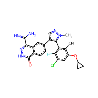 Cn1ncc(-c2ccc3c(=O)[nH]nc(C(=N)N)c3c2)c1-c1c(F)c(Cl)cc(OC2CC2)c1C#N